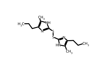 CCCc1nc(SSc2nc(CCC)c(C)[nH]2)[nH]c1C